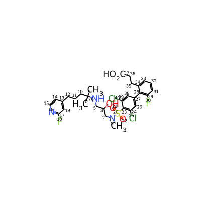 CN(CC(O)CNC(C)(C)CCCc1ccnc(F)c1)S(=O)(=O)c1c(Cl)cc(-c2c(F)cccc2CCC(=O)O)cc1Cl